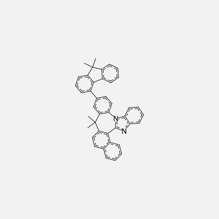 CC1(C)c2ccccc2-c2c(-c3ccc4c(c3)C(C)(C)c3ccc5ccccc5c3-c3nc5ccccc5n3-4)cccc21